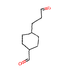 O=CCCC1CCC(C=O)CC1